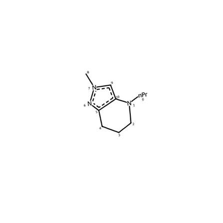 CCCN1CCCc2nn(C)cc21